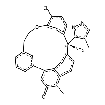 Cn1cnnc1[C@@]1(N)c2ccc(Cl)c(c2)OCCc2cccc(c2)-c2cc(=O)n(C)c3ccc1cc23